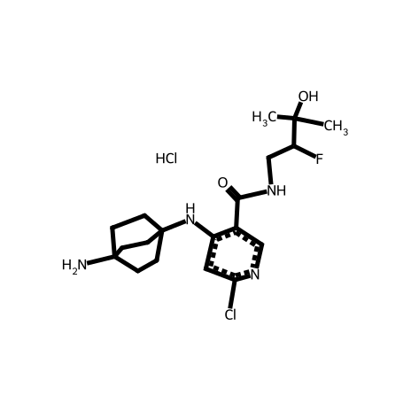 CC(C)(O)C(F)CNC(=O)c1cnc(Cl)cc1NC12CCC(N)(CC1)CC2.Cl